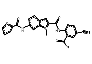 Cn1c(C(=O)Nc2ccc(C#N)cc2C(=O)O)cc2ccc(NC(=O)c3ccco3)cc21